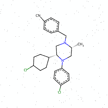 [C-]#[N+]c1ccc(CN2C[C@@H](C3CCC(Cl)CC3)N(c3ccc(Cl)cc3)C[C@H]2C)cc1